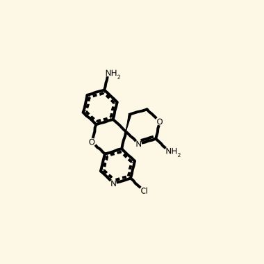 NC1=N[C@@]2(CCO1)c1cc(N)ccc1Oc1cnc(Cl)cc12